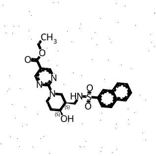 CCOC(=O)c1cnc(N2CC[C@H](O)[C@H](CNS(=O)(=O)c3ccc4ccccc4c3)C2)nc1